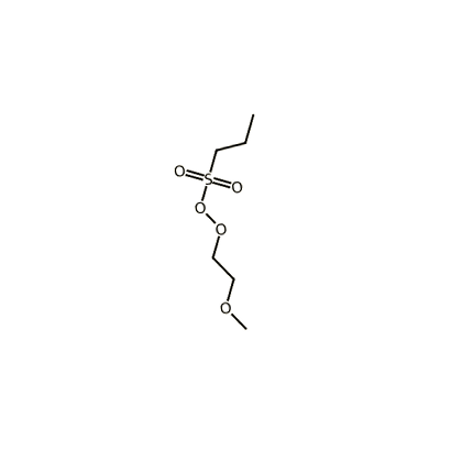 CCCS(=O)(=O)OOCCOC